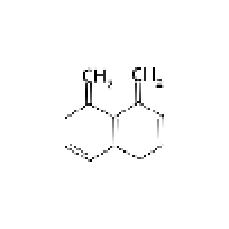 C=C1C=CCC2=C1C(=C)CC=C2